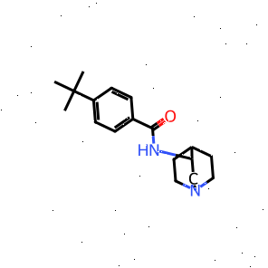 CC(C)(C)c1ccc(C(=O)NC2CN3CCC2CC3)cc1